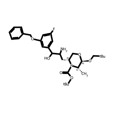 C[C@H]1[C@H](OCC(C)(C)C)OC[C@@H](CC(N)C(O)c2cc(F)cc(OCc3ccccc3)c2)N1C(=O)OC(C)(C)C